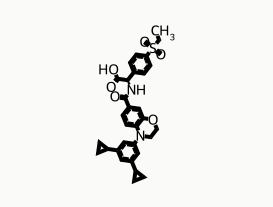 CCS(=O)(=O)c1ccc([C@@H](NC(=O)c2ccc3c(c2)OCCN3c2cc(C3CC3)cc(C3CC3)c2)C(=O)O)cc1